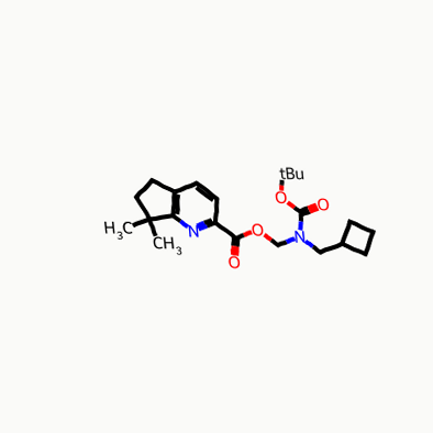 CC(C)(C)OC(=O)N(COC(=O)c1ccc2c(n1)C(C)(C)CC2)CC1CCC1